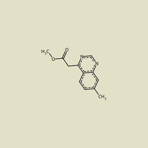 COC(=O)Cc1ncnc2cc(C)ccc12